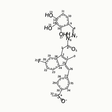 CC1=C(CC(=O)N/N=C\c2ccc(O)c(O)c2O)c2cc(F)ccc2/C1=C\c1ccc([S+](C)[O-])cc1